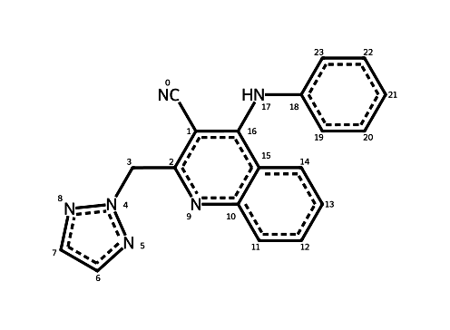 N#Cc1c(Cn2nccn2)nc2ccccc2c1Nc1ccccc1